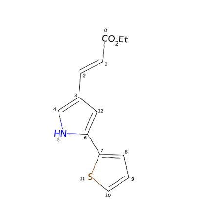 CCOC(=O)/C=C/c1c[nH]c(-c2cccs2)c1